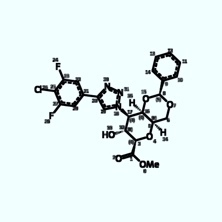 COC(=O)[C@@H]1O[C@@H]2CO[C@H](c3ccccc3)O[C@@H]2[C@H](n2cc(-c3cc(F)c(Cl)c(F)c3)nn2)[C@H]1O